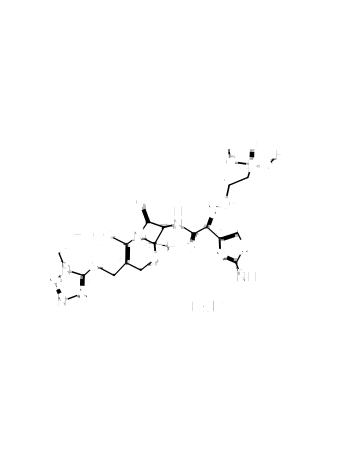 CCOP(=O)(CCON=C(C(=O)NC1C(=O)N2C(C(=O)O)=C(CSc3nnnn3C)CS[C@@H]12)c1csc(N)n1)OCC.Cl